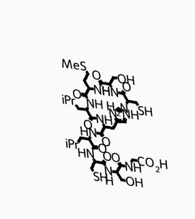 CSCCC(NC(=O)C(CO)NC(=O)C(N)CS)C(=O)NC(CC(C)C)C(=O)NC(Cc1c[nH]cn1)C(=O)NC(CC(C)C)C(=O)NC(CS)C(=O)NC(CO)C(=O)NCC(=O)O